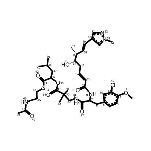 COc1ccc(CC(NC(=O)/C=C/C[C@H](O)[C@H](C)/C=C/c2cnn(C)c2)C(=O)NCC(C)(C)C(=O)OC(CC(C)C)C(=O)SCCNC(C)=O)cc1Cl